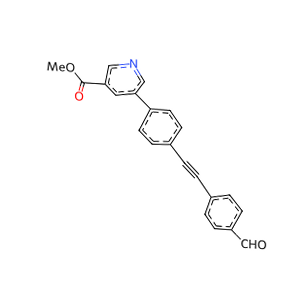 COC(=O)c1cncc(-c2ccc(C#Cc3ccc(C=O)cc3)cc2)c1